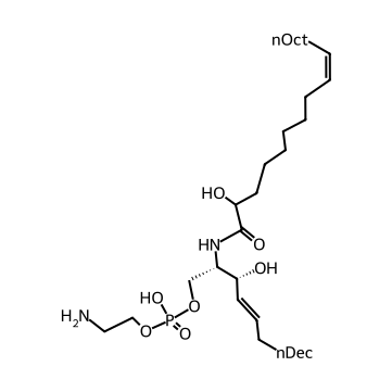 CCCCCCCC/C=C\CCCCCCC(O)C(=O)N[C@@H](COP(=O)(O)OCCN)[C@H](O)/C=C/CCCCCCCCCCC